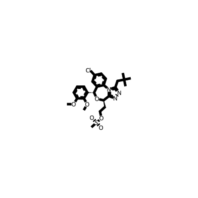 COc1cccc([C@H]2O[C@H](CCOS(C)(=O)=O)c3nnc(CC(C)(C)C)n3-c3ccc(Cl)cc32)c1OC